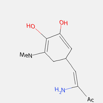 CNC1=C(O)C(O)=CC(/C=C(\N)C(C)=O)C1